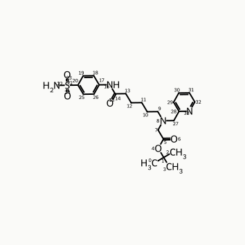 CC(C)(C)OC(=O)CN(CCCCCC(=O)Nc1ccc(S(N)(=O)=O)cc1)Cc1ccccn1